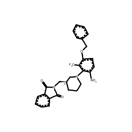 O=C1c2ccccc2C(=O)N1C[C@@H]1CCCN(c2c([N+](=O)[O-])ccc(OCc3ccccc3)c2C(F)(F)F)C1